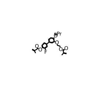 C=C(C)C(=O)OCCOc1cc(-c2ccc(OC(=O)C(=C)C)c(F)c2)ccc1OCCC